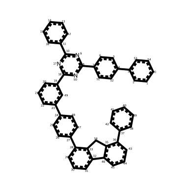 c1ccc(-c2ccc(-c3nc(-c4ccccc4)nc(-c4cccc(-c5ccc(-c6cccc7c6Cc6c(-c8ccccc8)cccc6-7)cc5)c4)n3)cc2)cc1